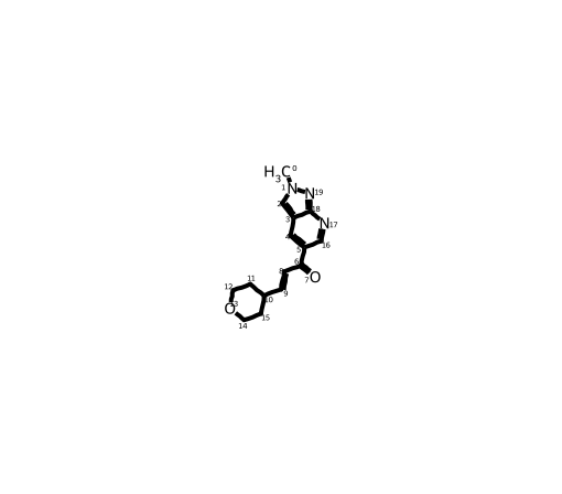 Cn1cc2cc(C(=O)/C=C/C3CCOCC3)cnc2n1